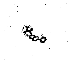 Nc1ncnc2scc(-c3ccc4ccc(-c5ccccc5F)nc4c3)c12